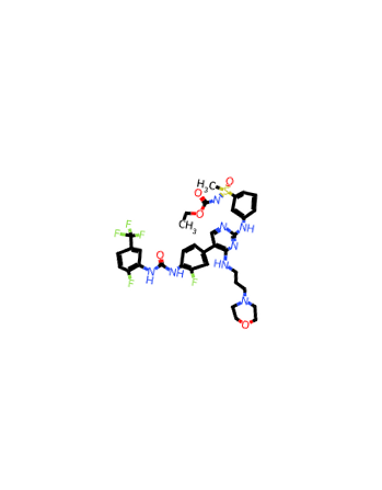 CCOC(=O)N=S(C)(=O)c1cccc(Nc2ncc(-c3ccc(NC(=O)Nc4cc(C(F)(F)F)ccc4F)c(F)c3)c(NCCCN3CCOCC3)n2)c1